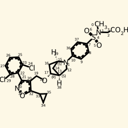 CN(CC(=O)O)S(=O)(=O)c1ccc(N2C[C@@H]3C[C@H]2C[C@H]3OCc2c(-c3c(Cl)cccc3Cl)noc2C2CC2)cc1